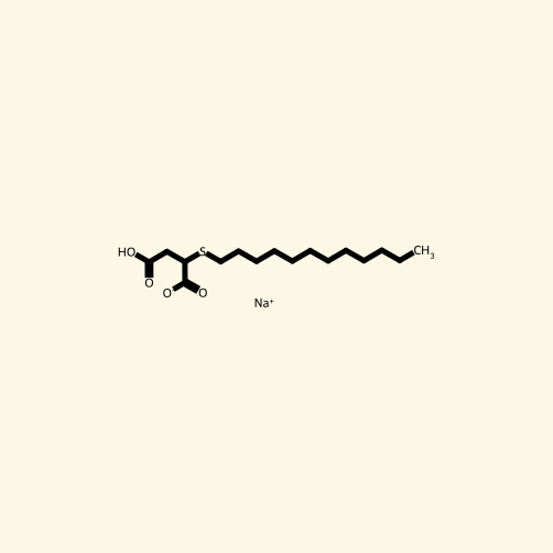 CCCCCCCCCCCCSC(CC(=O)O)C(=O)[O-].[Na+]